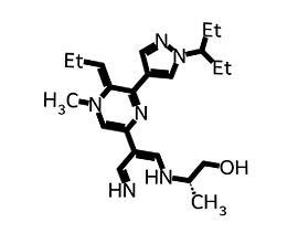 CC/C=C1/C(c2cnn(C(CC)CC)c2)=NC(/C(C=N)=C/N[C@@H](C)CO)=CN1C